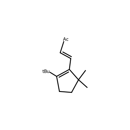 CC(=O)/C=C/C1=C(C(C)(C)C)CCC1(C)C